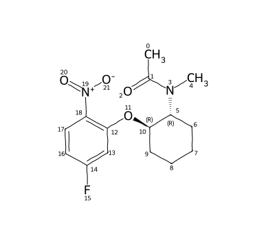 CC(=O)N(C)[C@@H]1CCCC[C@H]1Oc1cc(F)ccc1[N+](=O)[O-]